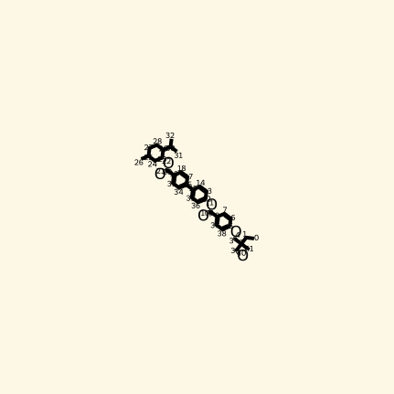 CCC1(COc2ccc(C(=O)Oc3ccc(-c4ccc(C(=O)OC5CC(C)CCC5C(C)C)cc4)cc3)cc2)COC1